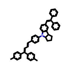 Cc1ccc(C(=C/C=C/c2ccc(N3c4ccc(C=C(c5ccccc5)c5ccccc5)cc4C4CCCC43)cc2)c2ccc(C)cc2)cc1